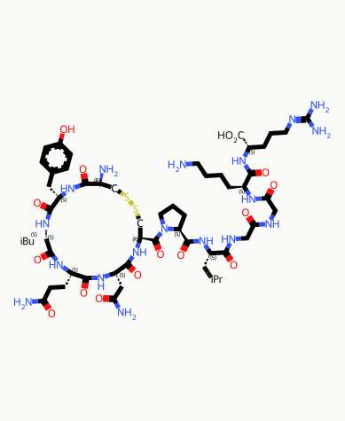 CC[C@H](C)[C@@H]1NC(=O)[C@H](Cc2ccc(O)cc2)NC(=O)[C@@H](N)CSSC[C@@H](C(=O)N2CCC[C@H]2C(=O)N[C@@H](CC(C)C)C(=O)NCC(=O)NCC(=O)N[C@@H](CCCCN)C(=O)N[C@@H](CCCN=C(N)N)C(=O)O)NC(=O)[C@H](CC(N)=O)NC(=O)[C@H](CCC(N)=O)NC1=O